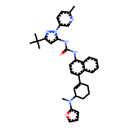 Cc1ccc(-n2nc(C(C)(C)C)cc2NC(=O)Nc2ccc(C3=CC(N(C)c4ccco4)CCC3)c3ccccc23)cn1